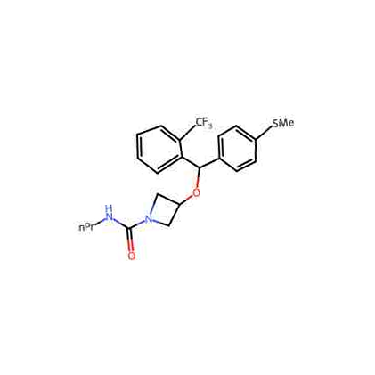 CCCNC(=O)N1CC(OC(c2ccc(SC)cc2)c2ccccc2C(F)(F)F)C1